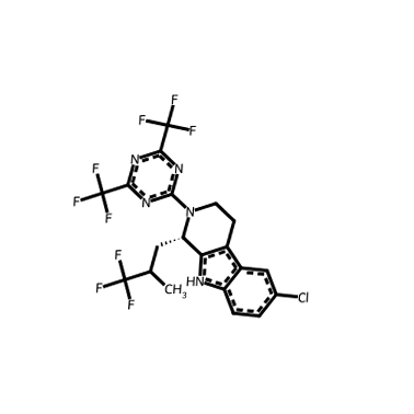 CC(C[C@H]1c2[nH]c3ccc(Cl)cc3c2CCN1c1nc(C(F)(F)F)nc(C(F)(F)F)n1)C(F)(F)F